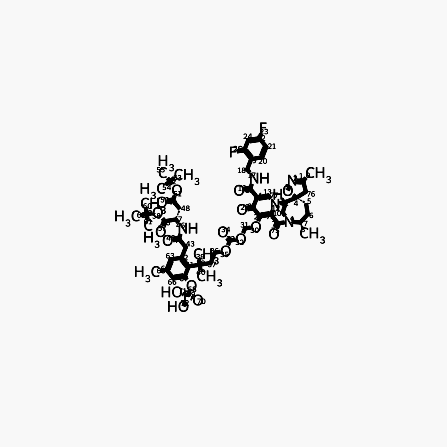 CC1=NO[C@@]2(CC[C@H](C)N3C[C@H]2n2cc(C(=O)NCc4ccc(F)cc4F)c(=O)c(OCOC(=O)OCCC(C)(C)c4c(CC(=O)N[C@@H](CC(=O)OC(C)(C)C)C(=O)OC(C)(C)C)cc(C)cc4OP(=O)(O)O)c2C3=O)C1